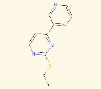 CCSc1nccc(-c2cccnc2)n1